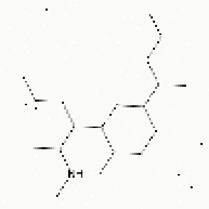 CCCC(C)C1CCC(C)C(C(CCC)C(C)NC)C1